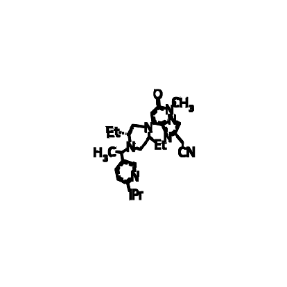 CCC1CN(C(C)c2ccc(C(C)C)nc2)[C@H](CC)CN1c1cc(=O)n(C)n2cc(CC#N)nc12